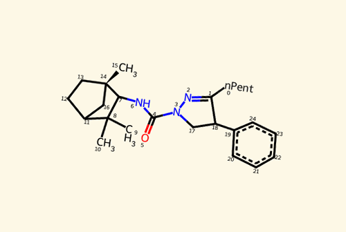 CCCCCC1=NN(C(=O)NC2C(C)(C)C3CC[C@@]2(C)C3)CC1c1ccccc1